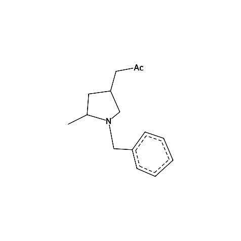 CC(=O)CC1CC(C)N(Cc2ccccc2)C1